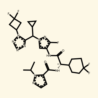 CC(C)n1nccc1C(=O)N[C@H](C(=O)Nc1cn(C(c2nnnn2C2CC(F)(F)C2)C2CC2)nc1F)C1CCC(F)(F)CC1